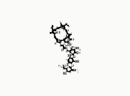 C=Cc1c(C)c2cc3nc(c(CC(=O)O)c4[nH]c(cc5nc(cc1[nH]2)C(C)=C5CC)c(C)c4C(=O)O)[C@@H](CCC(=O)NCC1OC(OC2C(N)CC(N)C(OC4OC(CN)C(O)CC4N)C2O)C(O)C(N)C1O)[C@@H]3C